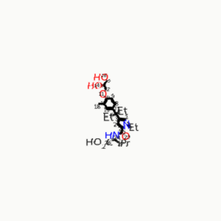 CCn1cc(C(CC)(CC)c2ccc(OCC(O)CO)c(C)c2)cc1C(=O)N[C@H](C(=O)O)C(C)C